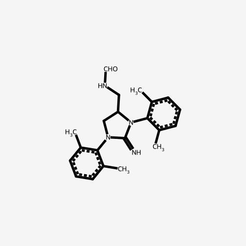 Cc1cccc(C)c1N1CC(CNC=O)N(c2c(C)cccc2C)C1=N